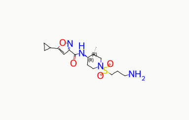 C[C@@H]1CN(S(=O)(=O)CCCN)CC[C@H]1NC(=O)c1cc(C2CC2)on1